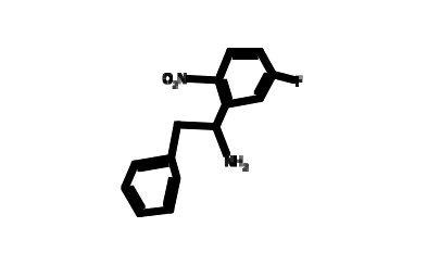 NC(Cc1ccccc1)c1cc(F)ccc1[N+](=O)[O-]